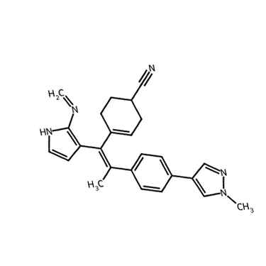 C=Nc1[nH]ccc1/C(C1=CCC(C#N)CC1)=C(\C)c1ccc(-c2cnn(C)c2)cc1